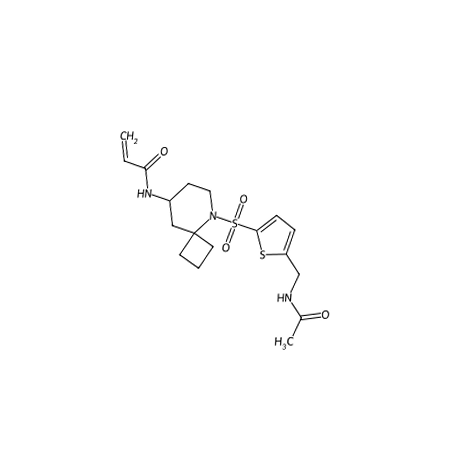 C=CC(=O)NC1CCN(S(=O)(=O)c2ccc(CNC(C)=O)s2)C2(CCC2)C1